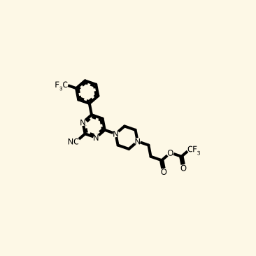 N#Cc1nc(-c2cccc(C(F)(F)F)c2)cc(N2CCN(CCC(=O)OC(=O)C(F)(F)F)CC2)n1